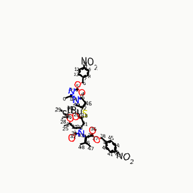 CC(=NC(=O)OCc1ccc([N+](=O)[O-])cc1)N1CC[C@H](SC(=O)C[C@@H]2[C@@H]([C@@H](C)O[Si](C)(C)C(C)(C)C)C(=O)N2C(C(=O)OCc2ccc([N+](=O)[O-])cc2)=C(C)C)C1